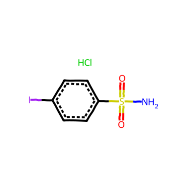 Cl.NS(=O)(=O)c1ccc(I)cc1